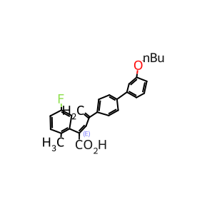 C=C(/C=C(/C(=O)O)c1cc(F)ccc1C)c1ccc(-c2cccc(OCCCC)c2)cc1